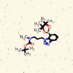 CN(CCCn1nnc2cccc(B3OC(C)(C)C(C)(C)O3)c21)C(=O)OC(C)(C)C